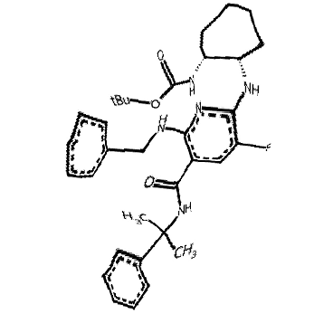 CC(C)(C)OC(=O)N[C@@H]1CCCC[C@@H]1Nc1nc(NCc2ccccc2)c(C(=O)NC(C)(C)c2ccccc2)cc1F